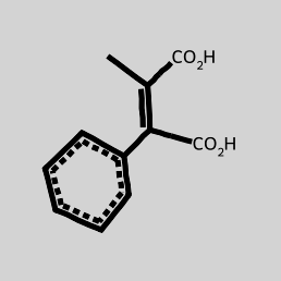 CC(C(=O)O)=C(C(=O)O)c1ccccc1